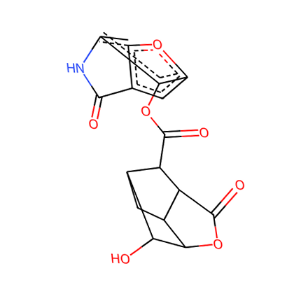 O=C1Nc2c(OC(=O)C3C4CC5C(OC(=O)C53)C4O)c3cc1c2o3